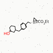 CCOC(=O)[C@@H]1C[C@H]1CCc1ccc(CC2CCC[C@@H](O)C2)cc1